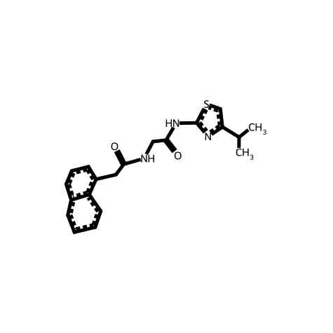 CC(C)c1csc(NC(=O)CNC(=O)Cc2cccc3ccccc23)n1